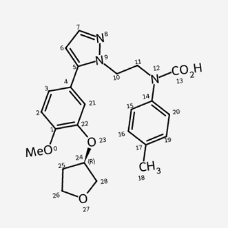 COc1ccc(-c2ccnn2CCN(C(=O)O)c2ccc(C)cc2)cc1O[C@@H]1CCOC1